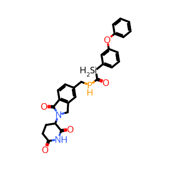 O=C1CCC(N2Cc3cc(CPC(=O)[SiH2]c4cccc(Oc5ccccc5)c4)ccc3C2=O)C(=O)N1